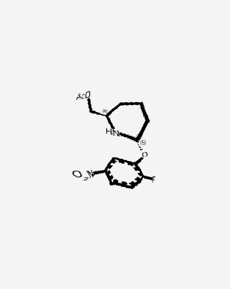 CC(=O)OC[C@H]1CCC[C@H](Oc2cc([N+](=O)[O-])ccc2F)N1